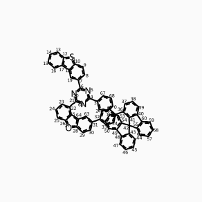 c1ccc(-c2nc(-c3ccc4sc5ccccc5c4c3)nc(-c3cccc4oc5ccc(-c6ccc(-c7cccc8c7C7(c9ccccc9-c9ccccc97)c7ccccc7-8)cc6)cc5c34)n2)cc1